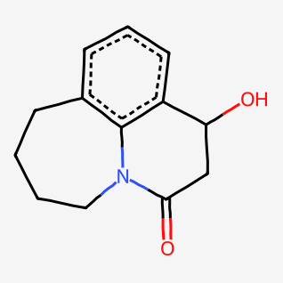 O=C1CC(O)c2cccc3c2N1CCCC3